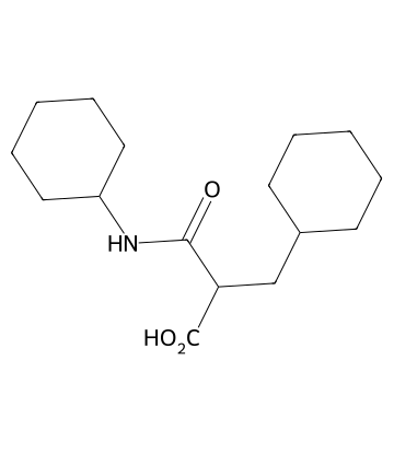 O=C(O)C(CC1CCCCC1)C(=O)NC1CCCCC1